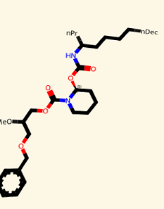 CCCCCCCCCCCCCCC(CCC)NC(=O)O[C@H]1CCCCN1C(=O)OCC(COCc1ccccc1)OC